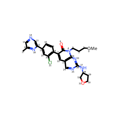 COCCCn1c(=O)c(-c2ccc(-c3cncc(C)n3)cc2Cl)cc2cnc(N[C@H]3CCOC3)nc21